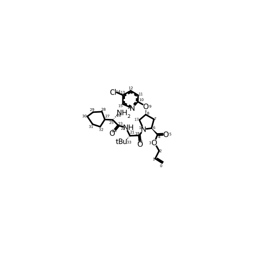 C=CCOC(=O)[C@@H]1C[C@@H](Oc2ccc(Cl)cn2)CN1C(=O)[C@@H](NC(=O)[C@@H](N)C1CCCCC1)C(C)(C)C